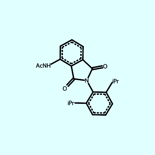 CC(=O)Nc1cccc2c1C(=O)N(c1c(C(C)C)cccc1C(C)C)C2=O